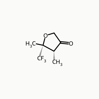 C[C@H]1C(=O)CO[C@@]1(C)C(F)(F)F